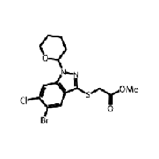 COC(=O)CSc1nn(C2CCCCO2)c2cc(Cl)c(Br)cc12